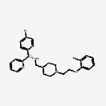 Fc1ccccc1OCCN1CCC(CN[C@@H](c2ccc(Cl)cc2)c2ccccn2)CC1